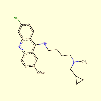 COc1ccc2nc3cc(Br)ccc3c(NCCCCN(C)CC3CC3)c2c1